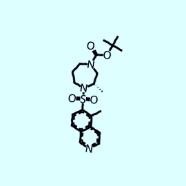 Cc1c(S(=O)(=O)N2CCCN(C(=O)OC(C)(C)C)C[C@@H]2C)ccc2cnccc12